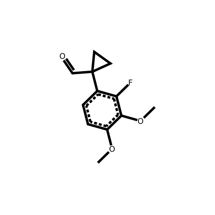 COc1ccc(C2(C=O)CC2)c(F)c1OC